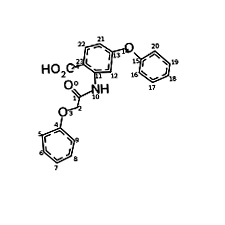 O=C(COc1ccccc1)Nc1cc(Oc2ccccc2)ccc1C(=O)O